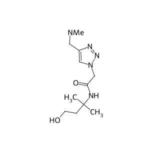 CNCc1cn(CC(=O)NC(C)(C)CCO)nn1